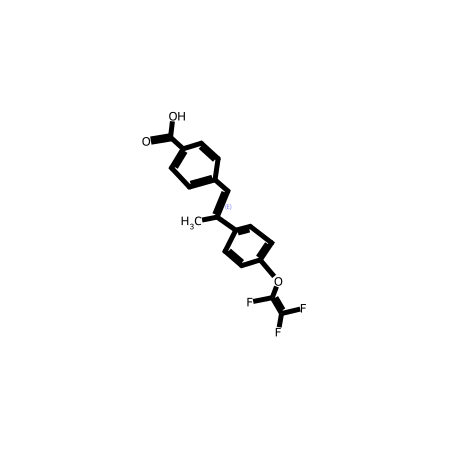 C/C(=C\c1ccc(C(=O)O)cc1)c1ccc(OC(F)=C(F)F)cc1